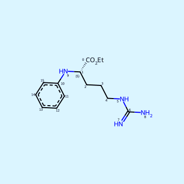 CCOC(=O)[C@H](CCCNC(=N)N)Nc1ccccc1